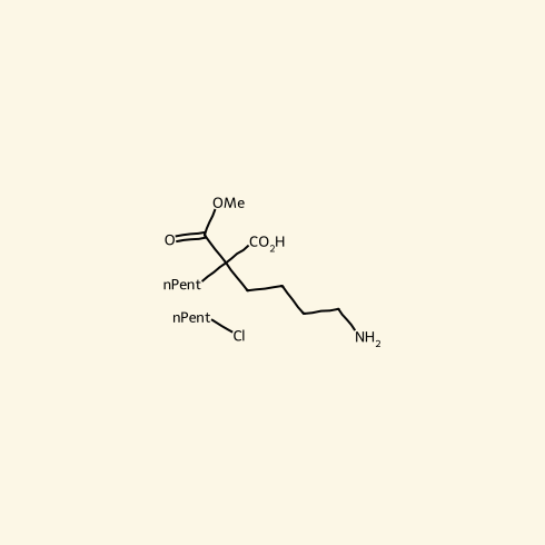 CCCCCC(CCCCN)(C(=O)O)C(=O)OC.CCCCCCl